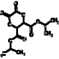 CC(C)OC(=O)C1OC(=O)C(=O)OC1C(=O)OC(C)C